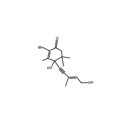 CC(C#CC1(O)C(C)=C(C(C)(C)C)C(=O)CC1(C)C)=CCO